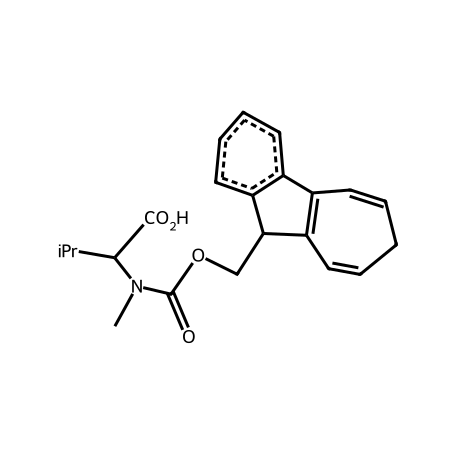 CC(C)C(C(=O)O)N(C)C(=O)OCC1C2=C(C=CCC=C2)c2ccccc21